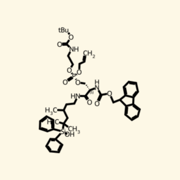 C=CCOP(=O)(OCCNC(=O)OC(C)(C)C)OC[C@H](NC(=O)OCC1c2ccccc2-c2ccccc21)C(=O)NCCC(C)CC(C)(C)[Si](O)(c1ccccc1)c1ccccc1